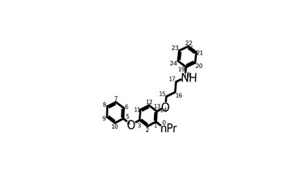 CCCc1cc(Oc2ccccc2)ccc1OCCCNc1cc[c]cc1